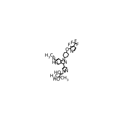 CCNc1cc2c(cn1)c(-c1cnn(C[C@@H](O)C(C)(C)O)c1)nn2C1CCC(Oc2nccc(C(F)(F)F)c2F)CC1